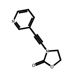 O=C1OCCN1C#Cc1cccnc1